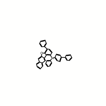 c1ccc(-c2ccc(N(c3ccccc3)c3ccc(-c4ccccc4)c4oc5cc6ccccc6cc5c34)cc2)cc1